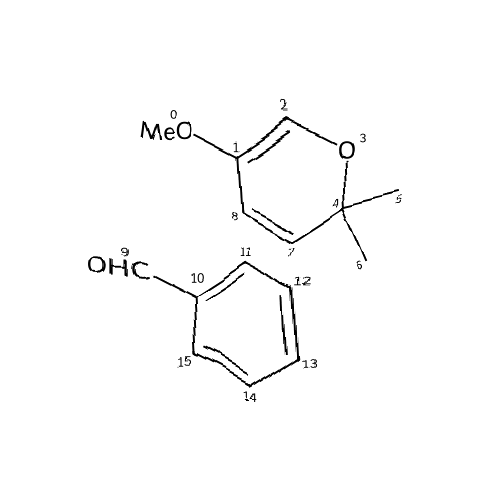 COC1=COC(C)(C)C=C1.O=Cc1ccccc1